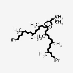 CC(C)CCCC(C)CCCC(C)CCCC(C)CCC1(CCC(C)CCCC(C)CCCC(C)CCCC(C)C)OCC(CN(C)C)CO1